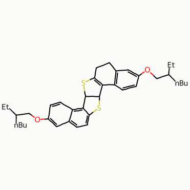 CCCCC(CC)COc1ccc2c(c1)CCC1=C2C2Sc3ccc4cc(OCC(CC)CCCC)ccc4c3C2S1